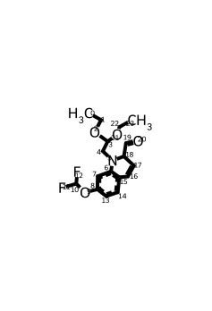 CCOC(CN1c2cc(OC(F)F)ccc2C=CC1C=O)OCC